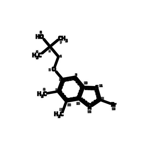 Cc1c(OCC(C)(C)O)cc2sc(Br)nc2c1C